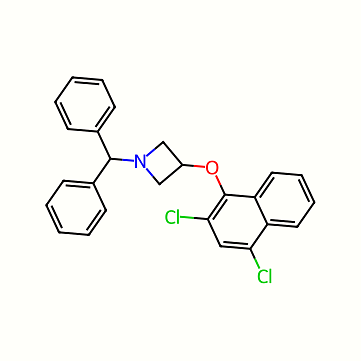 Clc1cc(Cl)c2ccccc2c1OC1CN(C(c2ccccc2)c2ccccc2)C1